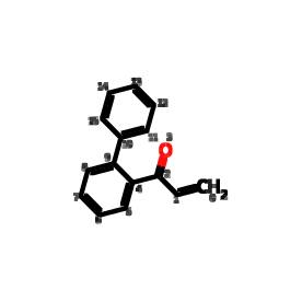 C=CC(=O)c1ccccc1-c1ccccc1